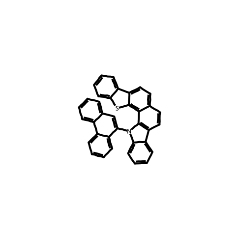 c1ccc2c(c1)cc(-n1c3ccccc3c3ccc4ccc5c6ccccc6sc5c4c31)c1ccccc12